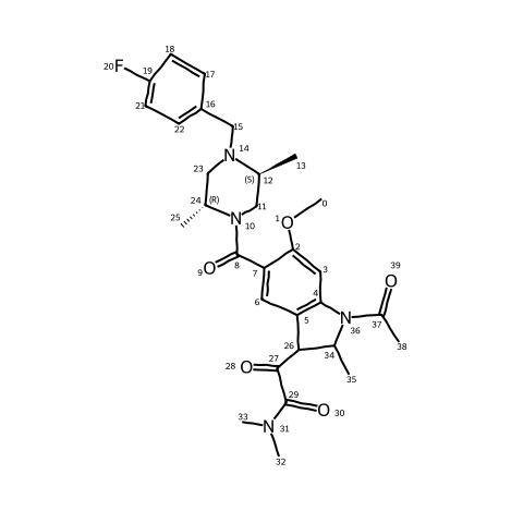 COc1cc2c(cc1C(=O)N1C[C@H](C)N(Cc3ccc(F)cc3)C[C@H]1C)C(C(=O)C(=O)N(C)C)C(C)N2C(C)=O